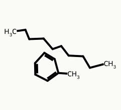 CCCCCCCCCC.Cc1ccccc1